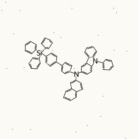 c1ccc(-n2c3ccccc3c3cc(N(c4ccc(-c5ccc([Si](c6ccccc6)(c6ccccc6)c6ccccc6)cc5)cc4)c4ccc5ccccc5c4)ccc32)cc1